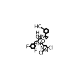 C#Cc1cccc(C2(NC[C@@H](O)[C@H](Cc3cc(F)cc(F)c3)NC(=O)c3cc(Cl)nc(Cl)n3)CC2)c1